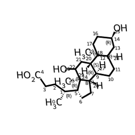 C[C@H](CCC(=O)O)[C@H]1CC[C@H]2[C@@H]3CC[C@@H]4C[C@H](O)CC[C@]4(C)[C@H]3CC(O)[C@]12C